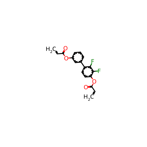 C=CC(=O)Oc1cccc(-c2ccc(OC(=O)C=C)c(F)c2F)c1